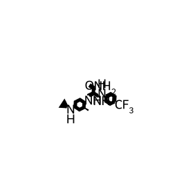 C[C@H]1C[C@H](NC2CC2)CC[C@@H]1N/C=C(\C(=N)Nc1ccc(C(F)(F)F)cc1)C(N)=O